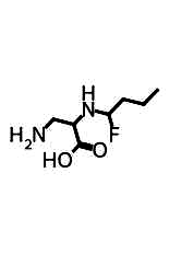 CCCC(F)NC(CN)C(=O)O